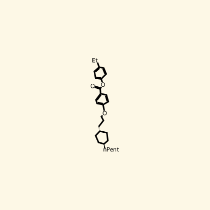 CCCCC[C@H]1CC[C@H](CCCOc2ccc(C(=O)Oc3ccc(CC)cc3)cc2)CC1